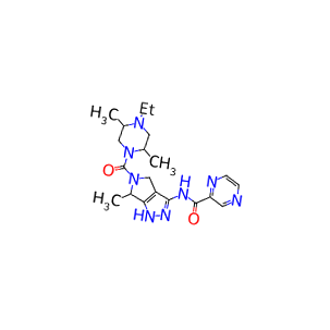 CCN1CC(C)N(C(=O)N2Cc3c(NC(=O)c4cnccn4)n[nH]c3C2C)CC1C